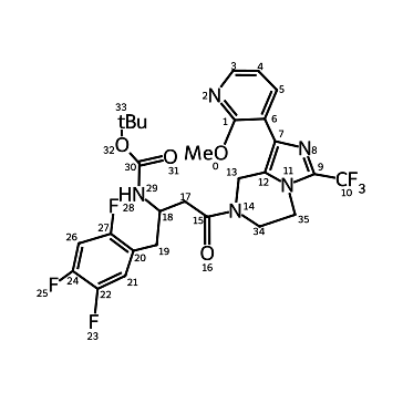 COc1ncccc1-c1nc(C(F)(F)F)n2c1CN(C(=O)CC(Cc1cc(F)c(F)cc1F)NC(=O)OC(C)(C)C)CC2